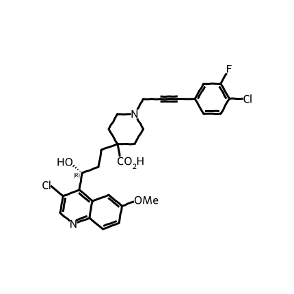 COc1ccc2ncc(Cl)c([C@H](O)CCC3(C(=O)O)CCN(CC#Cc4ccc(Cl)c(F)c4)CC3)c2c1